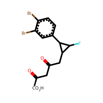 O=C(CC(=O)C(=O)O)CC1C(F)C1c1ccc(Br)c(Br)c1